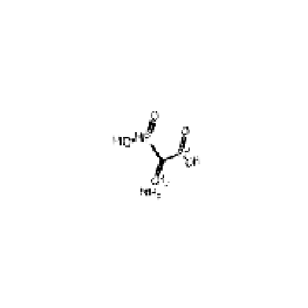 C=C([PH](=O)O)[PH](=O)O.N